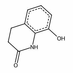 O=C1CCc2cccc(O)c2N1